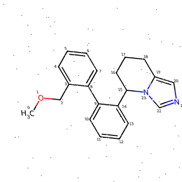 COCc1ccccc1-c1ccccc1C1CCCc2cncn21